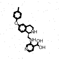 Cc1ccc(Oc2ccc3c(c2)CCN[C@H]3CNc2cnccc2C(O)O)cc1